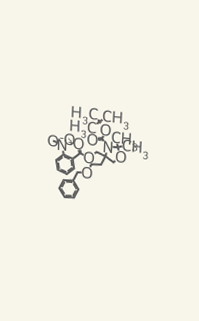 CC(C)(C)OC(=O)N1C(CCOCc2ccccc2)(COC(=O)c2ccccc2[N+](=O)[O-])COC1(C)C